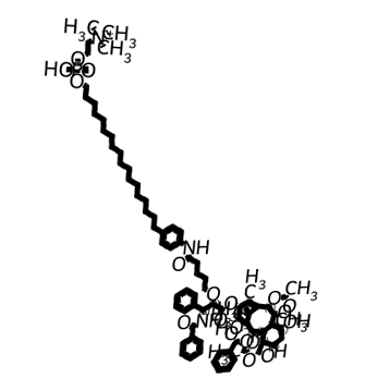 CC(=O)O[C@H]1C(=O)[C@@]2(C)[C@H]([C@H](OC(=O)c3ccccc3)[C@]3(O)C[C@H](OC(=O)[C@H](OCCCCC(=O)Nc4ccc(CCCCCCCCCCCCCCCCCCOP(=O)(O)OCC[N+](C)(C)C)cc4)[C@@H](NC(=O)c4ccccc4)c4ccccc4)C(C)=C1C3(C)C)[C@]1(OC(C)=O)CO[C@@H]1C[C@@H]2O